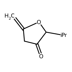 C=C1CC(=O)C(C(C)C)O1